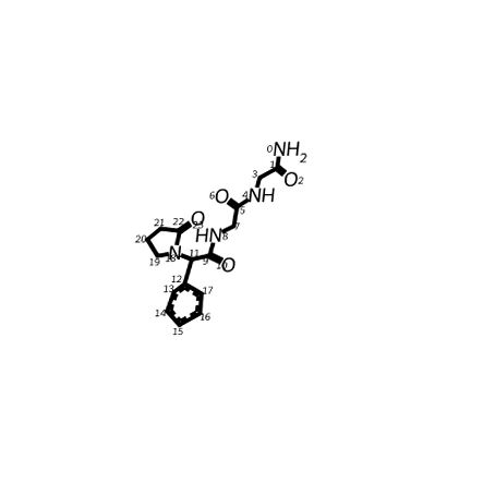 NC(=O)CNC(=O)CNC(=O)C(c1ccccc1)N1CCCC1=O